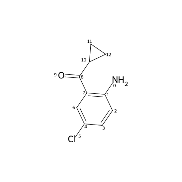 Nc1ccc(Cl)cc1C(=O)C1CC1